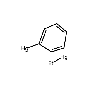 C[CH2][Hg].[Hg][c]1ccccc1